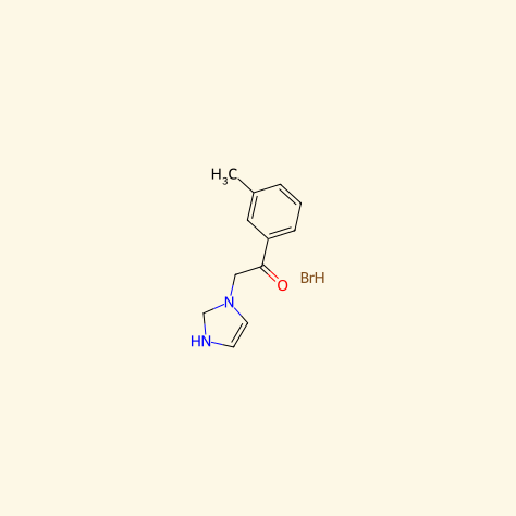 Br.Cc1cccc(C(=O)CN2C=CNC2)c1